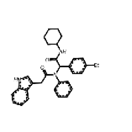 CCc1ccc(C(C(=O)NC2CCCCC2)N(C(=O)Cc2c[nH]c3ccccc23)c2ccccc2)cc1